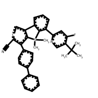 CC(C)(C)c1cnc(-c2cccc3c2S(C)(C)c2c-3ccc(C#N)c2-c2ccc(-c3ccccc3)cc2)cc1F